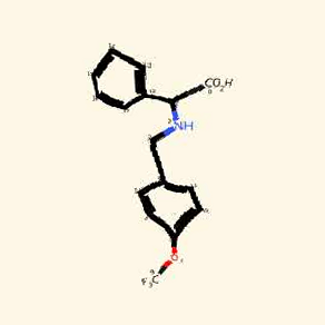 O=C(O)C(NCc1ccc(OC(F)(F)F)cc1)c1ccccc1